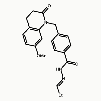 CCC=NNC(=O)c1ccc(CN2C(=O)CCc3ccc(OC)cc32)cc1